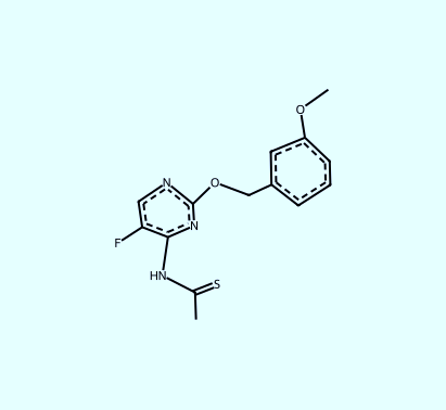 COc1cccc(COc2ncc(F)c(NC(C)=S)n2)c1